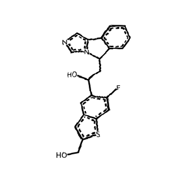 OCc1cc2cc(C(O)CC3c4ccccc4-c4cncn43)c(F)cc2s1